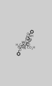 C[C@H](NC(=O)OCc1ccccc1)C(=O)N[C@H]1[C@@H](O)[C@H](n2cnc3c(NC(=O)c4ccccc4)ncnc32)O[C@@H]1C(=O)O